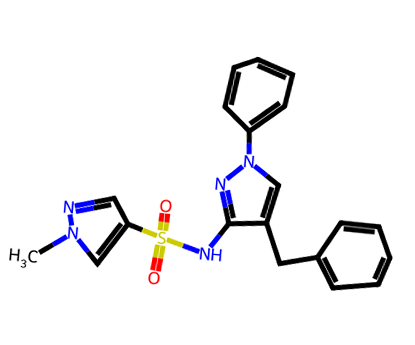 Cn1cc(S(=O)(=O)Nc2nn(-c3ccccc3)cc2Cc2ccccc2)cn1